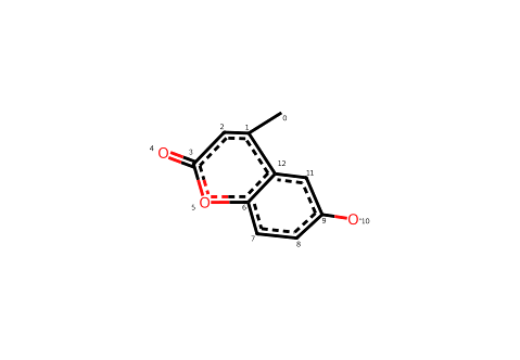 Cc1cc(=O)oc2ccc([O])cc12